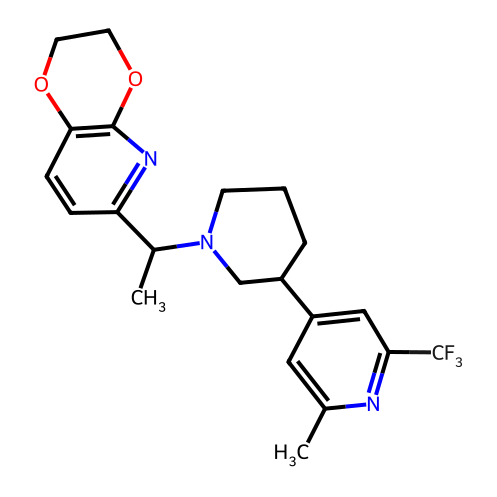 Cc1cc(C2CCCN(C(C)c3ccc4c(n3)OCCO4)C2)cc(C(F)(F)F)n1